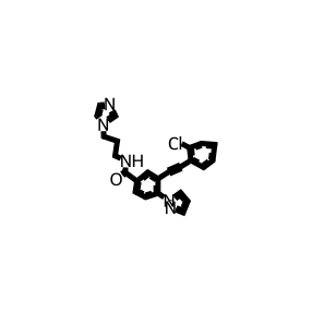 O=C(NCCCn1ccnc1)c1ccc(-n2cccn2)c(C#Cc2ccccc2Cl)c1